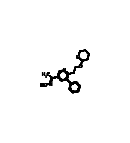 CC(=NO)c1cnc(CCOC2CCCCO2)c(-c2ccccc2)c1